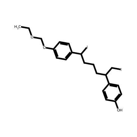 CCOCOc1ccc(C(I)CCCC(CI)c2ccc(O)cc2)cc1